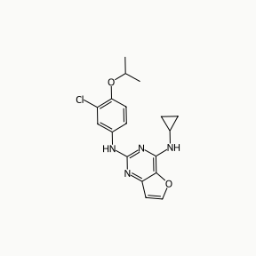 CC(C)Oc1ccc(Nc2nc(NC3CC3)c3occc3n2)cc1Cl